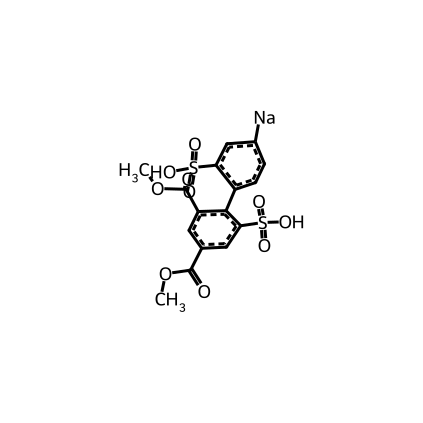 COC(=O)c1cc(C(=O)OC)c(-c2cc[c]([Na])cc2S(=O)(=O)O)c(S(=O)(=O)O)c1